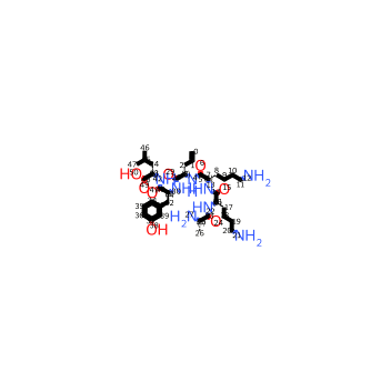 C=CC[C@H](NC(=O)[C@H](CCCCN)NC(=O)[C@H](CCCCN)NC(=O)[C@H](C)N)C(=O)N[C@@H](Cc1cccc(O)c1)C(=O)N[C@@H](CC(C)C)C(=O)O